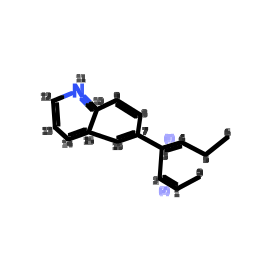 C/C=C\C(=C/CC)c1ccc2ncccc2c1